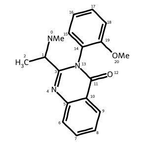 CNC(C)c1nc2ccccc2c(=O)n1-c1ccccc1OC